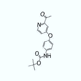 CC(=O)c1cc(Oc2ccc(NC(=O)OC(C)(C)C)cc2)ccn1